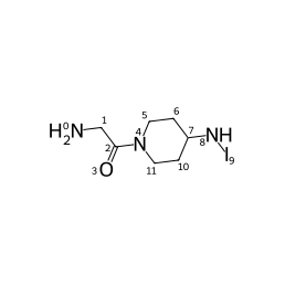 NCC(=O)N1CCC(NI)CC1